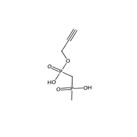 C#CCOP(=O)(O)CP(C)(=O)O